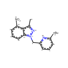 CCCCc1cccc(Cn2nc(C)c3c([N+](=O)[O-])cccc32)n1